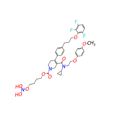 COc1ccc(OCCN(C(=O)C2=C(c3ccc(CCCOc4c(F)ccc(F)c4F)cc3)CCN(C(=O)OCCCCON(O)O)C2)C2CC2)cc1